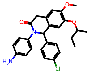 CCC(C)Oc1cc2c(cc1OC)CC(=O)N(c1ccc(N)cc1)C2c1ccc(Cl)cc1